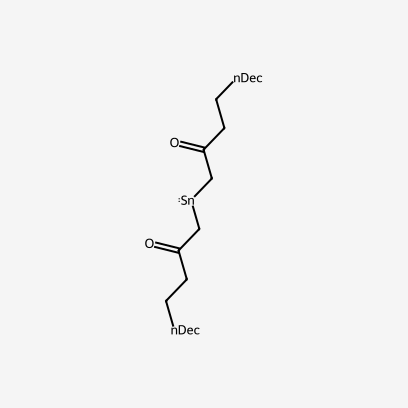 CCCCCCCCCCCCC(=O)[CH2][Sn][CH2]C(=O)CCCCCCCCCCCC